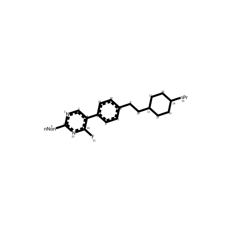 CCCCCCCCCc1ncc(-c2ccc(CCC3CCC(CCC)CC3)cc2)c(F)n1